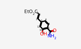 CCOC(=O)/C=C/c1ccc(C(N)=O)c(O)c1